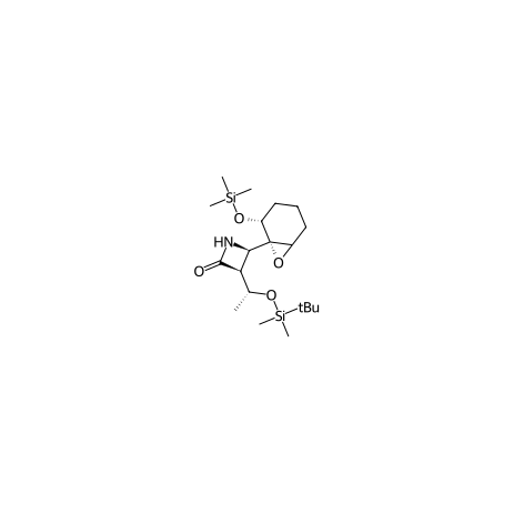 C[C@@H](O[Si](C)(C)C(C)(C)C)[C@H]1C(=O)N[C@H]1[C@]12OC1CCC[C@H]2O[Si](C)(C)C